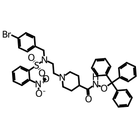 O=C(NOC(c1ccccc1)(c1ccccc1)c1ccccc1)C1CCN(CCN(Cc2ccc(Br)cc2)S(=O)(=O)c2ccccc2[N+](=O)[O-])CC1